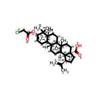 C=C(C)[C@@H]1CC[C@]2(C(=O)O)CC[C@]3(C)[C@H](CC[C@@H]4[C@@]5(C)CC[C@H](OC(=O)CCl)C(C)(C)[C@@H]5CC[C@]43C)[C@@H]12